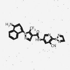 N#Cc1cc(NC(=O)c2cnn(-c3ccc(N)c4ccccc34)c2C(F)(F)F)cnc1-n1nccn1